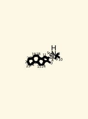 CC1C([Si](C)(C)NC(C)(C)C)=Cc2c1ccc1c2ccc2ccccc21